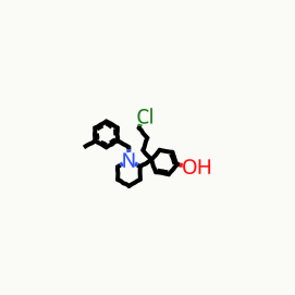 Cc1cccc(CN2CCCCC2C2(CCCCl)C=CC(O)=CC2)c1